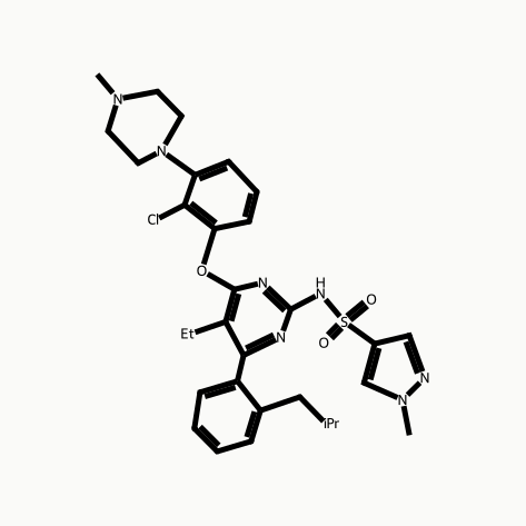 CCc1c(Oc2cccc(N3CCN(C)CC3)c2Cl)nc(NS(=O)(=O)c2cnn(C)c2)nc1-c1ccccc1CC(C)C